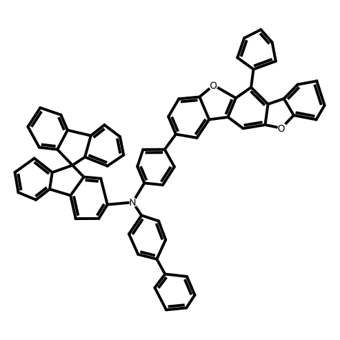 c1ccc(-c2ccc(N(c3ccc(-c4ccc5oc6c(-c7ccccc7)c7c(cc6c5c4)oc4ccccc47)cc3)c3ccc4c(c3)C3(c5ccccc5-c5ccccc53)c3ccccc3-4)cc2)cc1